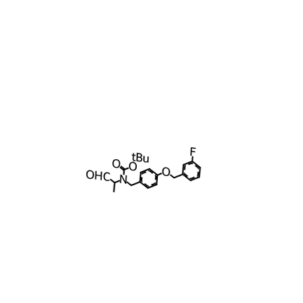 CC(C=O)N(Cc1ccc(OCc2cccc(F)c2)cc1)C(=O)OC(C)(C)C